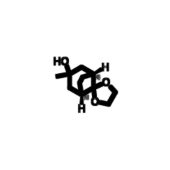 CC1(O)C[C@H]2CC[C@@H](C1)C21OCCO1